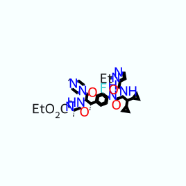 CCOC(=O)N(C)[C@@H](C)C(=O)N[C@@H](C(=O)N1CCN(C)CC1)[C@@H](C)c1ccc(NC(=O)[C@@H](NC(=O)c2ccnn2CC)C(C2CC2)C2CC2)c(F)c1